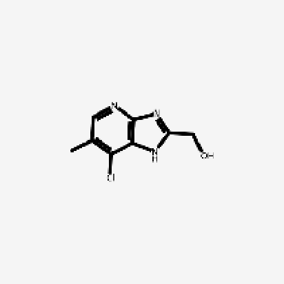 Cc1cnc2nc(CO)[nH]c2c1Cl